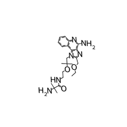 CCOCc1nc2c(N)nc3ccccc3c2n1CC(C)(C)OCCNC(=O)C(C)(C)N